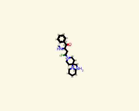 CNC(CC(F)N1CCC(CN)(N2CCCCC2)CC1)C(=O)c1ccccc1